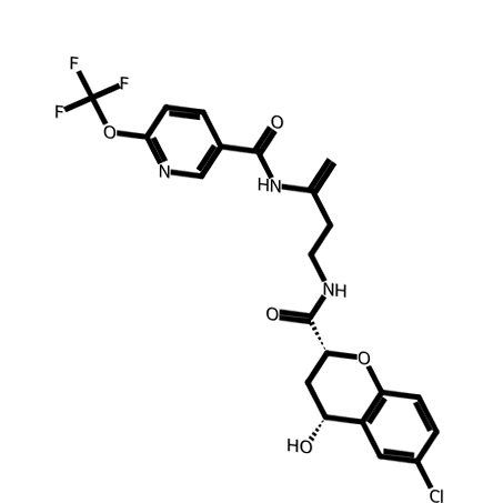 C=C(CCNC(=O)[C@H]1C[C@@H](O)c2cc(Cl)ccc2O1)NC(=O)c1ccc(OC(F)(F)F)nc1